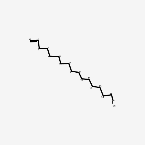 C=CCCCCCCCCCCCCCCF